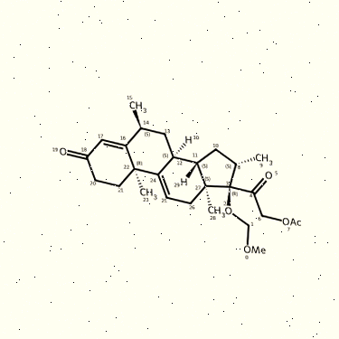 COCO[C@]1(C(=O)COC(C)=O)[C@@H](C)C[C@H]2[C@@H]3C[C@H](C)C4=CC(=O)CC[C@]4(C)C3=CC[C@@]21C